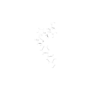 C=Cc1ccc(-c2ccc(-c3c[nH]c([C@@H]4CCCN4C(=O)[C@@H](NC(=O)OC)C(C)C)n3)cc2)cc1